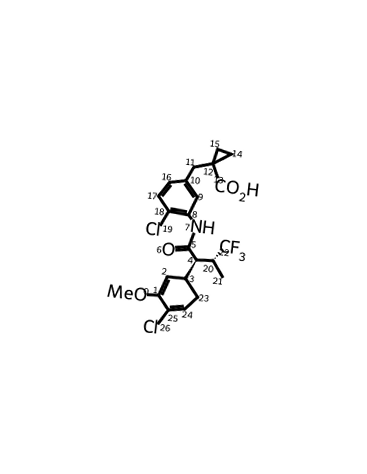 COC1=CC([C@@H](C(=O)Nc2cc(CC3(C(=O)O)CC3)ccc2Cl)[C@@H](C)C(F)(F)F)CC=C1Cl